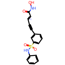 O=C(/C=C/C#Cc1cccc(S(=O)(=O)Nc2ccccc2)c1)NO